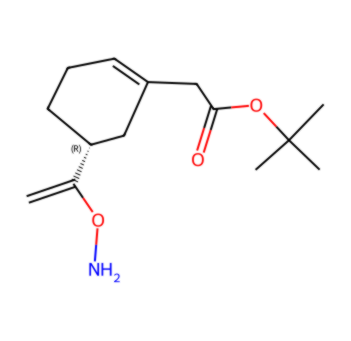 C=C(ON)[C@@H]1CCC=C(CC(=O)OC(C)(C)C)C1